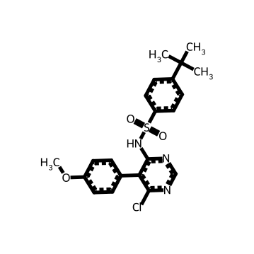 COc1ccc(-c2c(Cl)ncnc2NS(=O)(=O)c2ccc(C(C)(C)C)cc2)cc1